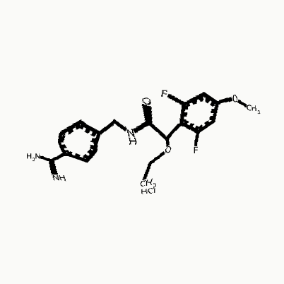 CCOC(C(=O)NCc1ccc(C(=N)N)cc1)c1c(F)cc(OC)cc1F.Cl